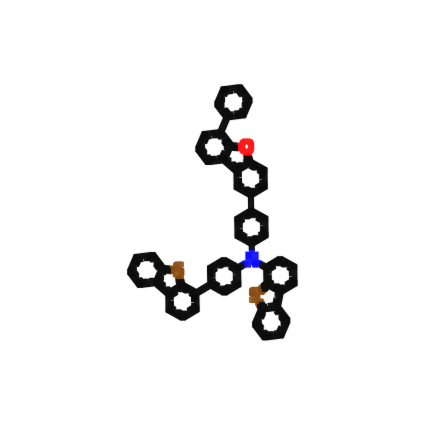 c1ccc(-c2cccc3c2oc2ccc(-c4ccc(N(c5ccc(-c6cccc7c6sc6ccccc67)cc5)c5cccc6c5sc5ccccc56)cc4)cc23)cc1